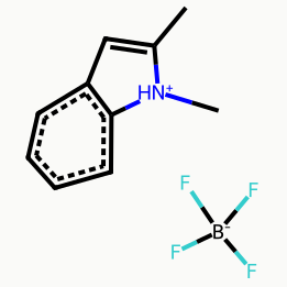 CC1=Cc2ccccc2[NH+]1C.F[B-](F)(F)F